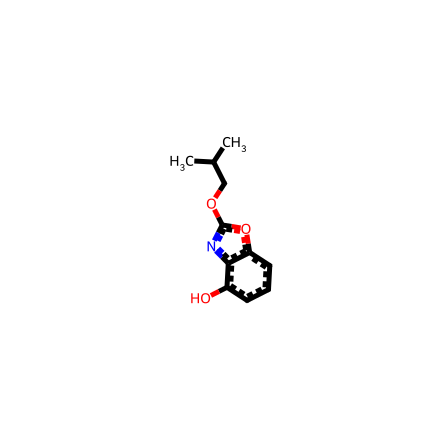 CC(C)COc1nc2c(O)cccc2o1